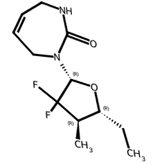 CC[C@H]1O[C@@H](N2CC=CCNC2=O)C(F)(F)[C@@H]1C